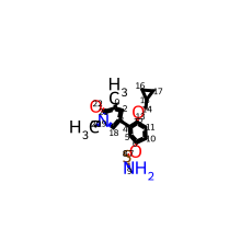 Cc1cc(-c2cc(OSN)ccc2OCC2CC2)cn(C)c1=O